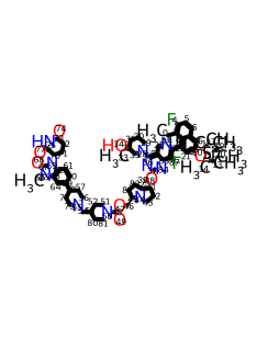 CCc1c(F)ccc2cc(O[Si](C(C)C)(C(C)C)C(C)C)cc(-c3ncc4c(N5CCC[C@@](C)(O)C5)nc(OC[C@]56CCCN5[C@@H](COC(=O)N5CCC(CN7CCC(c8ccc9c(c8)n(C)c(=O)n9C8CCC(=O)NC8=O)CC7)CC5)CC6)nc4c3F)c12